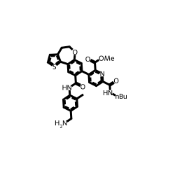 CCCCNC(=O)c1ccc(-c2cc3c(cc2C(=O)Nc2ccc(CN)cc2C)-c2sccc2CCO3)c(C(=O)OC)n1